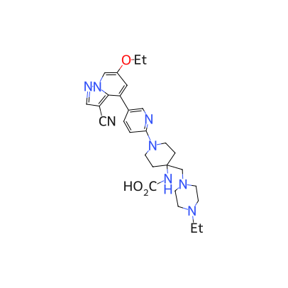 CCOc1cc(-c2ccc(N3CCC(CN4CCN(CC)CC4)(NC(=O)O)CC3)nc2)c2c(C#N)cnn2c1